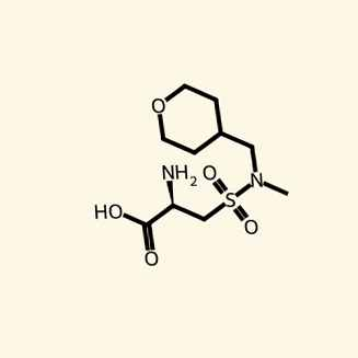 CN(CC1CCOCC1)S(=O)(=O)C[C@H](N)C(=O)O